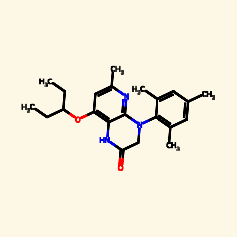 CCC(CC)Oc1cc(C)nc2c1NC(=O)CN2c1c(C)cc(C)cc1C